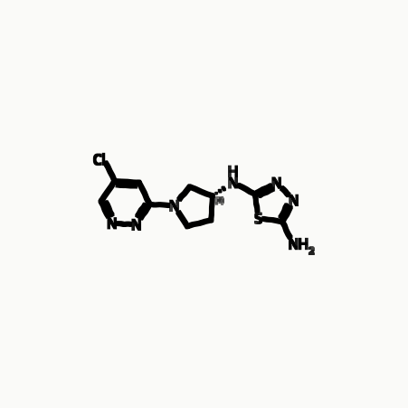 Nc1nnc(N[C@@H]2CCN(c3cc(Cl)cnn3)C2)s1